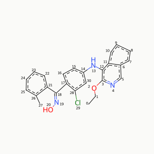 CCOc1ncc2ccccc2c1Nc1ccc(C(=NO)c2ccccc2C)c(Cl)c1